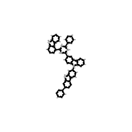 c1ccc(-c2ccc3c(c2)oc2cc(-n4c5ccccc5c5cc(-c6nc(-c7ccccc7)nc(-c7cccc8oc9ccccc9c78)n6)ccc54)ccc23)cc1